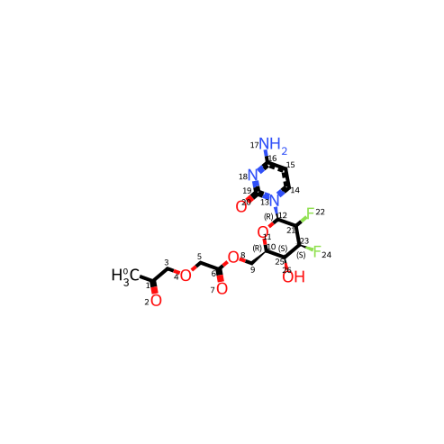 CC(=O)COCC(=O)OC[C@H]1O[C@@H](n2ccc(N)nc2=O)C(F)[C@@H](F)[C@H]1O